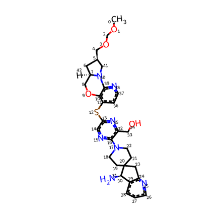 COCOC[C@@H]1C[C@@H]2COc3c(Sc4cnc(N5CCC6(CC5)Cc5ncccc5[C@H]6N)c(CO)n4)ccnc3N2C1